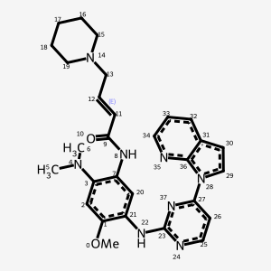 COc1cc(N(C)C)c(NC(=O)/C=C/CN2CCCCC2)cc1Nc1nccc(-n2ccc3cccnc32)n1